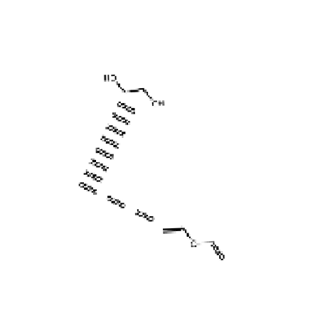 C=C.C=C.C=C.C=C.C=C.C=C.C=C.C=C.C=C.C=C.C=COC=C.OCCO